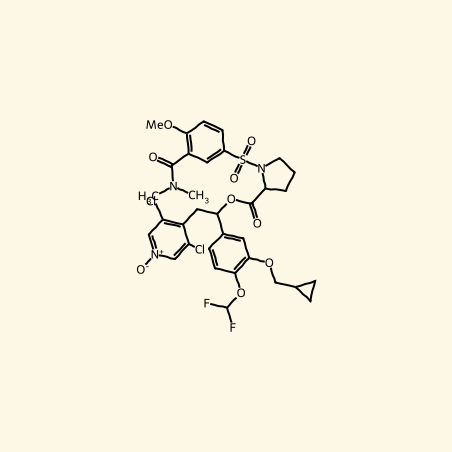 COc1ccc(S(=O)(=O)N2CCCC2C(=O)OC(Cc2c(Cl)c[n+]([O-])cc2Cl)c2ccc(OC(F)F)c(OCC3CC3)c2)cc1C(=O)N(C)C